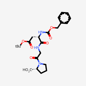 CC(C)(C)OC(=O)C[C@H](NC(=O)OCc1ccccc1)C(=O)NCC(=O)N1CCC[C@@H]1C(=O)O